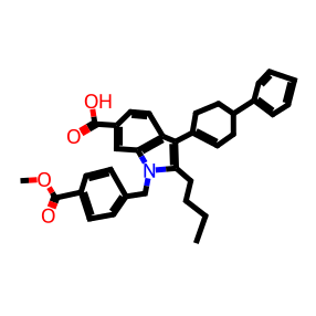 CCCCc1c(C2=CCC(c3ccccc3)CC2)c2ccc(C(=O)O)cc2n1Cc1ccc(C(=O)OC)cc1